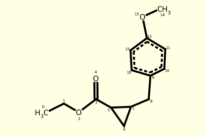 CCOC(=O)C1CC1Cc1ccc(OC)cc1